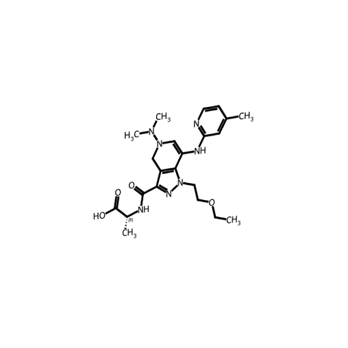 CCOCCn1nc(C(=O)N[C@H](C)C(=O)O)c2c1C(Nc1cc(C)ccn1)=CN(N(C)C)C2